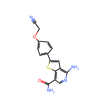 N#CCOc1ccc(-c2cc3c(N)ncc(C(N)=O)c3s2)cc1